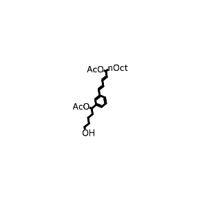 CCCCCCCCC(C=CC=Cc1cccc(C(CCCCO)OC(C)=O)c1)OC(C)=O